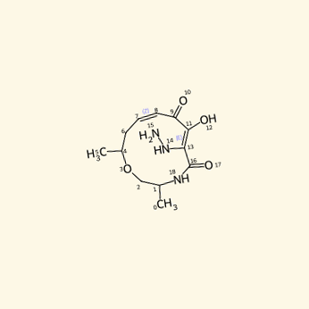 CC1COC(C)C/C=C\C(=O)/C(O)=C(\NN)C(=O)N1